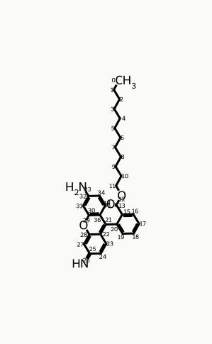 CCCCCCCCCCCCOC(=O)c1ccccc1-c1c2ccc(=N)cc-2oc2cc(N)ccc12